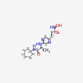 C[C@@H](Nc1cnc(/C=C/C(=O)NO)cn1)C(=O)NC1CCCCCC1